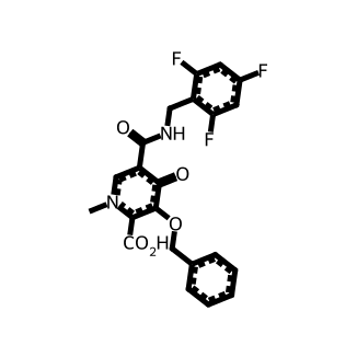 Cn1cc(C(=O)NCc2c(F)cc(F)cc2F)c(=O)c(OCc2ccccc2)c1C(=O)O